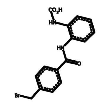 O=C(O)Nc1ccccc1NC(=O)c1ccc(CBr)cc1